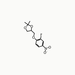 CC1(C)OCC(COc2ccc([N+](=O)[O-])cc2F)O1